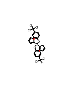 ClC(Cl)(Cl)c1ccc([O][Zr]([O]c2ccc(C(Cl)(Cl)Cl)cc2)([C]2=CC=CC2)[C]2=CC=CC2)cc1